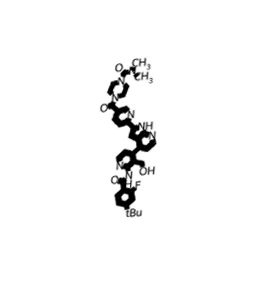 CN(C)C(=O)N1CCN(C(=O)c2ccc(-c3cc4c(-c5ccnc(NC(=O)c6ccc(C(C)(C)C)cc6F)c5CO)ccnc4[nH]3)nc2)CC1